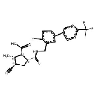 C[C@H]1[C@H](C#N)C[C@@H](C(=O)NCc2cc(-c3cnc(C(F)(F)F)nc3)ccc2F)N1C(=O)O